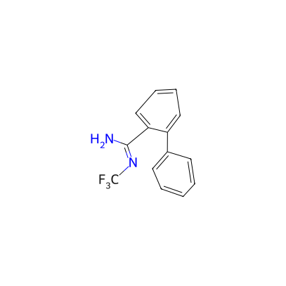 NC(=NC(F)(F)F)c1ccccc1-c1ccccc1